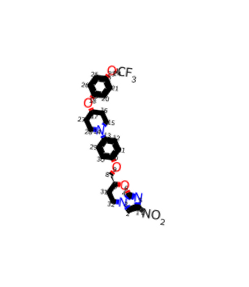 O=[N+]([O-])c1cn2c(n1)O[C@@H](COc1ccc(N3CCC(Oc4ccc(OC(F)(F)F)cc4)CC3)cc1)CC2